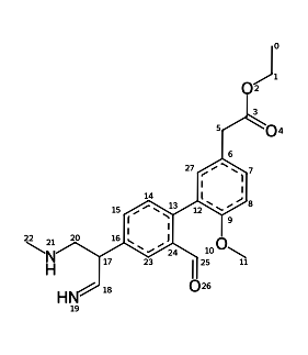 CCOC(=O)Cc1ccc(OC)c(-c2ccc(C(C=N)CNC)cc2C=O)c1